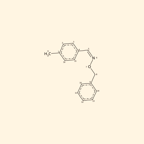 Cc1ccc(/[C]=N\OCc2ccccc2)cc1